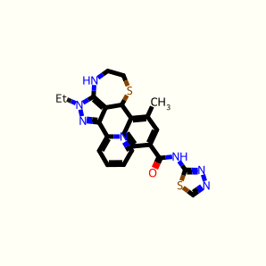 CCn1nc(-c2ccccn2)c2c1NCCSC2c1ccc(C(=O)Nc2nncs2)cc1C